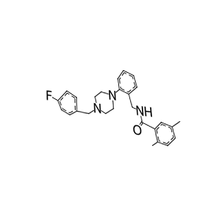 Cc1ccc(C)c(C(=O)NCc2ccccc2N2CCN(Cc3ccc(F)cc3)CC2)c1